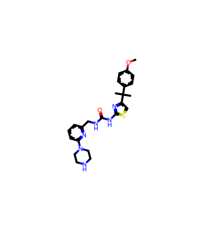 COc1ccc(C(C)(C)c2csc(NC(=O)NCc3cccc(N4CCNCC4)n3)n2)cc1